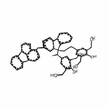 CC(c1cc(CO)c(O)c(CO)c1)C1(CCc2cc(CO)c(O)c(CO)c2)c2ccccc2-c2ccc(-c3ccc4c5c(cccc35)-c3ccccc3-4)cc21